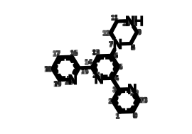 c1ccc(-c2cc(N3CCNCC3)cc(-c3ccccn3)n2)nc1